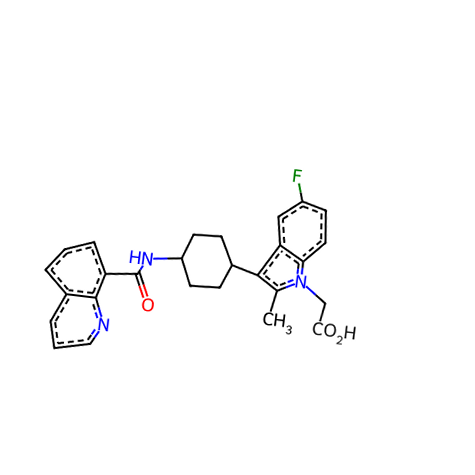 Cc1c(C2CCC(NC(=O)c3cccc4cccnc34)CC2)c2cc(F)ccc2n1CC(=O)O